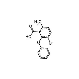 Cc1ccc(Br)c(Oc2ccccc2)c1C(=O)O